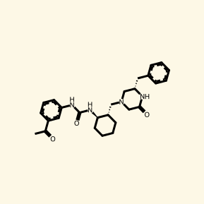 CC(=O)c1cccc(NC(=O)N[C@@H]2CCCC[C@H]2CN2CC(=O)N[C@@H](Cc3ccccc3)C2)c1